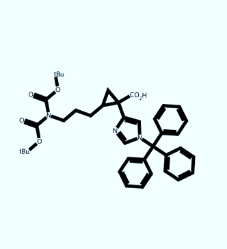 CC(C)(C)OC(=O)N(CCCC1CC1(C(=O)O)c1cn(C(c2ccccc2)(c2ccccc2)c2ccccc2)cn1)C(=O)OC(C)(C)C